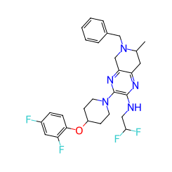 CC1Cc2nc(NCC(F)F)c(N3CCC(Oc4ccc(F)cc4F)CC3)nc2CN1Cc1ccccc1